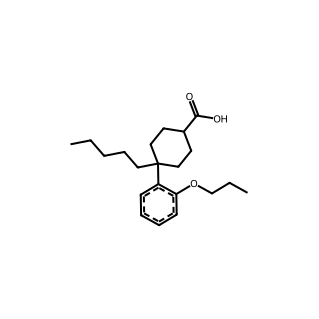 CCCCCC1(c2ccccc2OCCC)CCC(C(=O)O)CC1